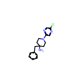 NC1(Cc2ccccc2)CCN(c2cnc(Cl)cn2)CC1